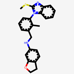 CSc1nc2ccccc2n1-c1cccc(CNc2ccc3c(c2)OC[C]3)c1C